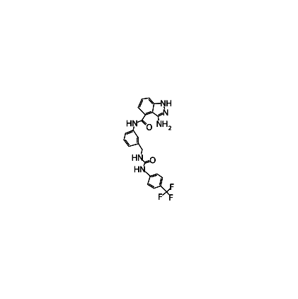 Nc1n[nH]c2cccc(C(=O)Nc3cccc(CNC(=O)Nc4ccc(C(F)(F)F)cc4)c3)c12